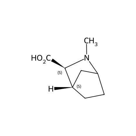 CN1C2CC[C@@H](C2)[C@H]1C(=O)O